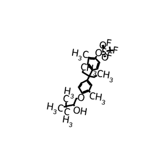 CCC(CC)(c1ccc(OCC(O)C(C)(C)C)c(C)c1)c1ccc(OS(=O)(=O)C(F)(F)F)c(C)c1